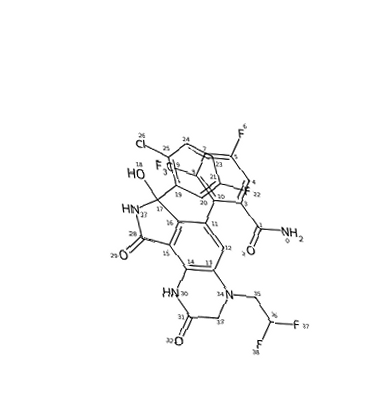 NC(=O)c1cc(F)cc(C(F)(F)F)c1-c1cc2c(c3c1C(O)(c1cc(F)ccc1Cl)NC3=O)NC(=O)CN2CC(F)F